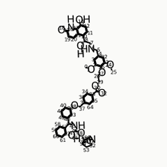 COc1cc(CNC[C@H](O)c2ccc(O)c3[nH]c(=O)ccc23)cc(OC)c1OCCOC(=O)c1ccc(COc2cccc(C(NC(=O)O[C@H]3CN4CCC3CC4)c3ccccc3)c2)cc1